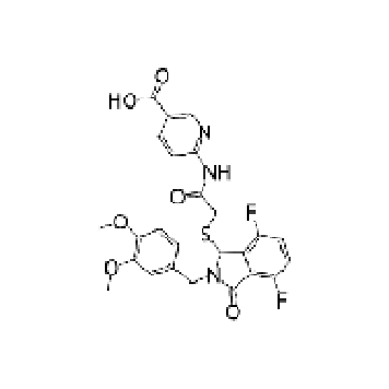 COc1ccc(CN2C(=O)c3c(F)ccc(F)c3C2SCC(=O)Nc2ccc(C(=O)O)cn2)cc1OC